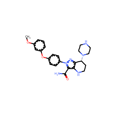 COc1cccc(Oc2ccc(-n3nc4c(c3C(N)=O)NCC[C@H]4N3CCNCC3)cc2)c1